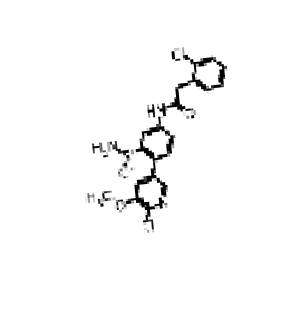 COc1cc(-c2ccc(NC(=O)Cc3ccccc3Cl)cc2[S+](N)[O-])cnc1Cl